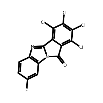 O=C1c2c(Cl)c(Cl)c(Cl)c(Cl)c2-c2nc3ccc(F)cc3n21